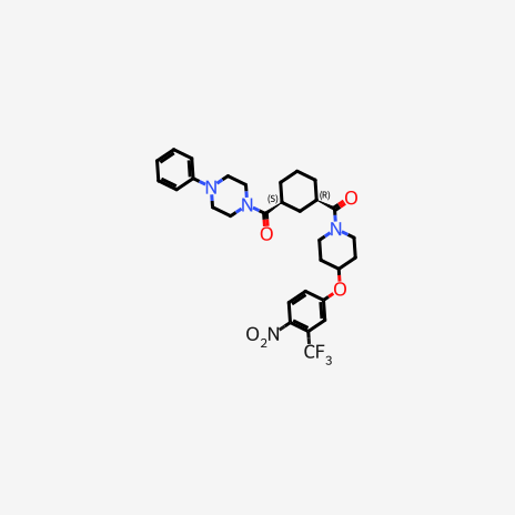 O=C([C@@H]1CCC[C@H](C(=O)N2CCN(c3ccccc3)CC2)C1)N1CCC(Oc2ccc([N+](=O)[O-])c(C(F)(F)F)c2)CC1